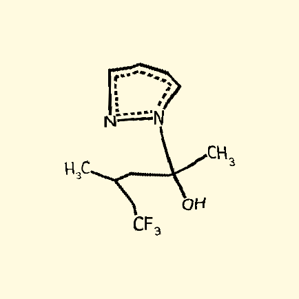 CC(C(F)(F)F)C(C)(O)n1cccn1